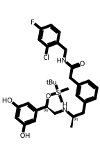 C[C@H](Cc1cccc(CC(=O)NCc2ccc(F)cc2Cl)c1)NC[C@H](O[Si](C)(C)C(C)(C)C)c1cc(O)cc(O)c1